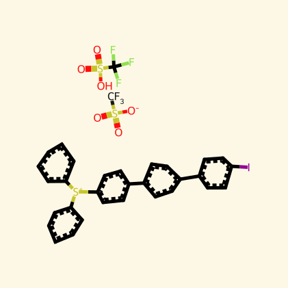 Ic1ccc(-c2ccc(-c3ccc([S+](c4ccccc4)c4ccccc4)cc3)cc2)cc1.O=S(=O)(O)C(F)(F)F.O=S(=O)([O-])C(F)(F)F